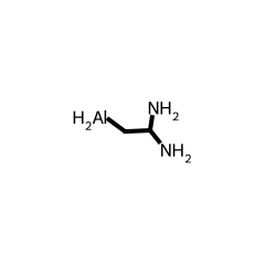 NC(N)[CH2][AlH2]